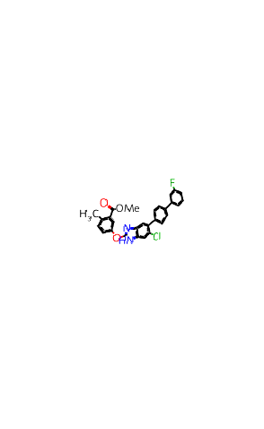 COC(=O)c1cc(Oc2nc3cc(-c4ccc(-c5cccc(F)c5)cc4)c(Cl)cc3[nH]2)ccc1C